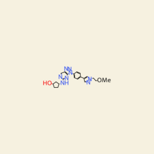 COCCn1cc(-c2ccc(-n3nnc4cnc(N[C@@H]5CC[C@@H](O)C5)nc43)cc2)cn1